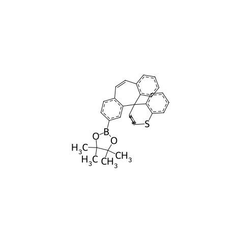 CC1(C)OB(c2ccc3c(c2)C2(c4ccccc4C=C3)c3ccccc3Sc3ccccc32)OC1(C)C